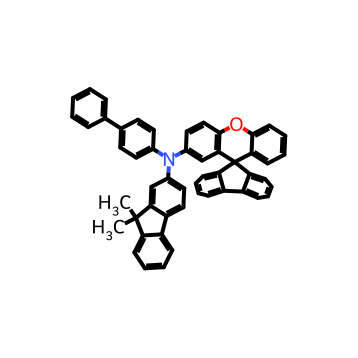 CC1(C)c2ccccc2-c2ccc(N(c3ccc(-c4ccccc4)cc3)c3ccc4c(c3)C3(c5ccccc5O4)c4ccccc4-c4ccccc43)cc21